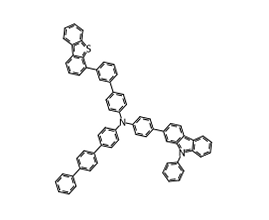 c1ccc(-c2ccc(-c3ccc(N(c4ccc(-c5cccc(-c6cccc7c6sc6ccccc67)c5)cc4)c4ccc(-c5ccc6c7ccccc7n(-c7ccccc7)c6c5)cc4)cc3)cc2)cc1